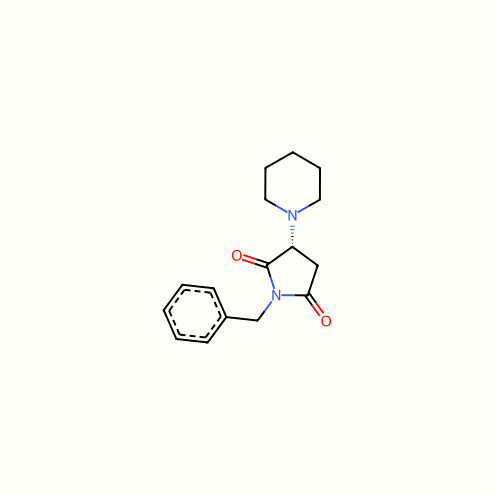 O=C1C[C@@H](N2CCCCC2)C(=O)N1Cc1ccccc1